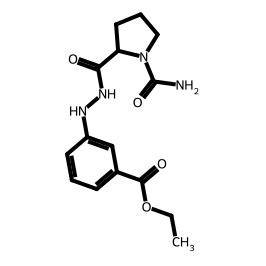 CCOC(=O)c1cccc(NNC(=O)C2CCCN2C(N)=O)c1